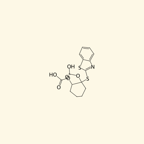 O=C(O)OC1CCCCC1(OC(=O)O)Sc1nc2ccccc2s1